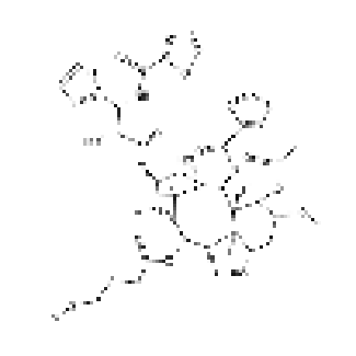 CO[C@@H]1C[C@H](O)[C@@]2(C)C(=O)[C@H](OC(=O)CCCSSC)C3=C(C)[C@@H](OC(=O)[C@H](O)[C@@H](NC(=O)c4ccco4)c4ccco4)C[C@@](O)([C@@H](OC(=O)c4ccoc4)[C@@H]2[C@@]1(C)OC(C)=O)C3(C)C